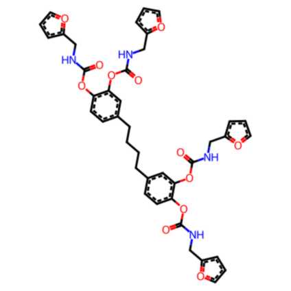 O=C(NCc1ccco1)Oc1ccc(CCCCc2ccc(OC(=O)NCc3ccco3)c(OC(=O)NCc3ccco3)c2)cc1OC(=O)NCc1ccco1